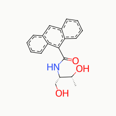 C[C@@H](O)[C@H](CO)NC(=O)c1c2ccccc2cc2ccccc12